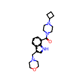 O=C(c1cccc2c(CN3CCOCC3)c[nH]c12)N1CCN(C2CCC2)CC1